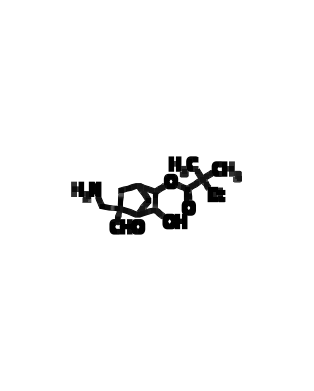 CCC(C)(C)C(=O)OC1C2CC(C1O)C(C=O)(CN)C2